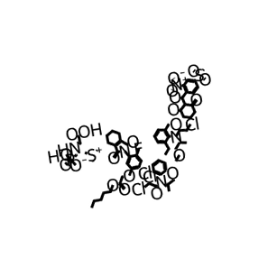 CC1COc2ccccc2N1C(=O)C(Cl)Cl.CCCCCOC(=O)COc1cc(N2C(=O)C3=C(CCCC3)C2=O)c(F)cc1Cl.CCc1cccc(C)c1N(C(=O)CCl)C(C)COC.CS(=O)(=O)c1ccc(C(=O)C2C(=O)CCCC2=O)c([N+](=O)[O-])c1.C[S+](C)C.O=C(O)CNCP(=O)([O-])O